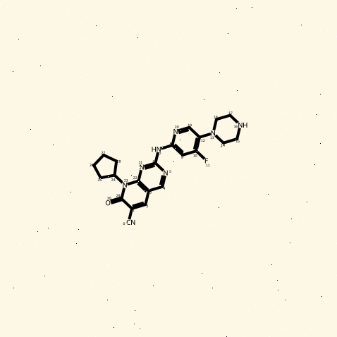 N#Cc1cc2cnc(Nc3cc(F)c(N4CCNCC4)cn3)nc2n(C2CCCC2)c1=O